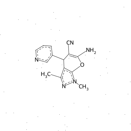 Cc1nn(C)c2c1C(c1cccnc1)C(C#N)=C(N)O2